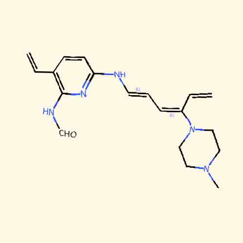 C=C/C(=C\C=C\Nc1ccc(C=C)c(NC=O)n1)N1CCN(C)CC1